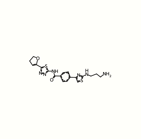 NCCCNc1nc(-c2ccc(C(=O)Nc3nnc(C4=CCCO4)s3)cc2)cs1